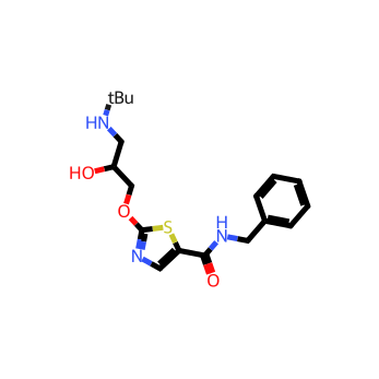 CC(C)(C)NCC(O)COc1ncc(C(=O)NCc2ccccc2)s1